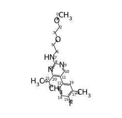 COCCOCCNc1ncc(-c2ccc(F)c(C)c2)c(C(C)C)n1